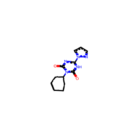 O=c1nc(-n2cccn2)[nH]c(=O)n1C1CCCCC1